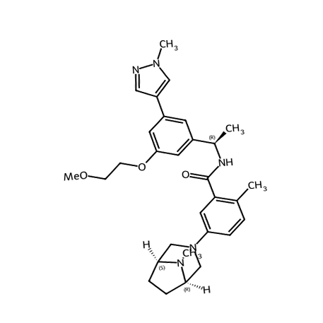 COCCOc1cc(-c2cnn(C)c2)cc([C@@H](C)NC(=O)c2cc(N3C[C@H]4CC[C@@H](C3)N4C)ccc2C)c1